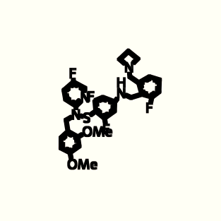 COc1ccc(CN(Sc2c(F)cc(NCc3c(F)cccc3CN3CCC3)cc2F)c2ccc(F)cn2)c(OC)c1